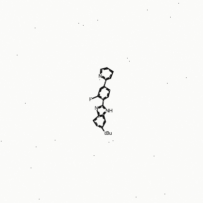 CC(C)(C)c1ccc2nc(-c3ccc(-c4ccccn4)cc3F)[nH]c2c1